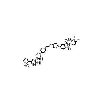 O=C1CCC(N2C(=O)c3ccc(N4CCN(CCCN5CCC(N6CCN7c8cc(-c9ccccc9O)nnc8NC[C@H]7C6)CC5)CC4)cc3C2=O)C(=O)N1